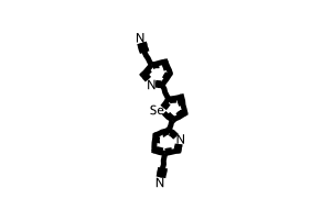 N#Cc1ccc(-c2ccc(-c3ccc(C#N)cn3)[se]2)nc1